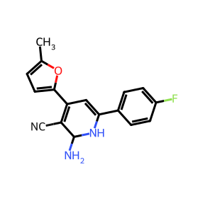 Cc1ccc(C2=C(C#N)C(N)NC(c3ccc(F)cc3)=C2)o1